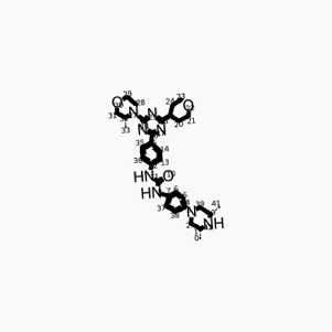 C[C@@H]1CN(c2ccc(NC(=O)Nc3ccc(-c4nc(C5CCOCC5)nc(N5CCOC[C@H]5C)n4)cc3)cc2)C[C@H](C)N1